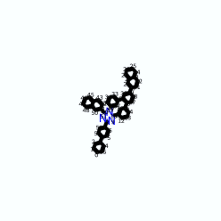 c1ccc(-c2ccc(-c3nc(-c4cccc(-c5ccc(-c6ccc7ccccc7c6)cc5-c5ccccc5)c4)nc(-c4ccc5ccccc5c4)n3)cc2)cc1